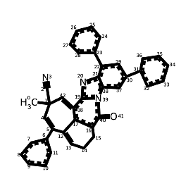 CC1(C#N)C=C(c2ccccc2)C2=CCCc3c2c(c2nc4c(-c5ccccc5)cc(-c5ccccc5)cc4n2c3=O)=C1